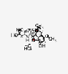 COc1cc(O)c2c3c1C[C@@H]1[C@@H]4CC[C@@H](N[C@@H](CC(=O)O)C(=O)O)[C@H](O2)[C@]34CCN1C.Cl.Cl